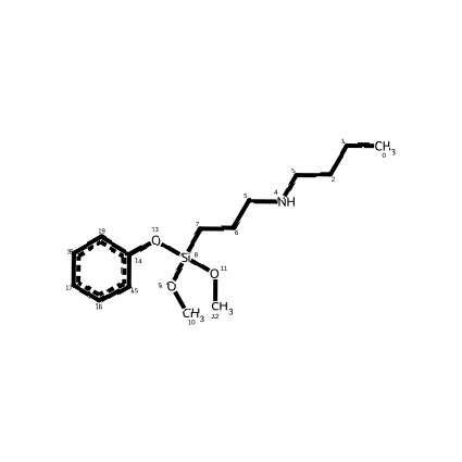 CCCCNCCC[Si](OC)(OC)Oc1ccccc1